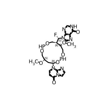 CO[C@@H]1COPOC[C@@H]([C@H](F)n2cnc3c(=O)[nH]cnc32)[C@H](OC)COPO[C@@H](n2ccc(=O)n3ccnc23)C1